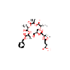 CC(OCC(C=O)OC(=O)C(C)OC(=O)CCC(=O)O)C(=O)OC(C)C(=O)OC(C)C(=O)OC(C)C(=O)OCc1ccccc1